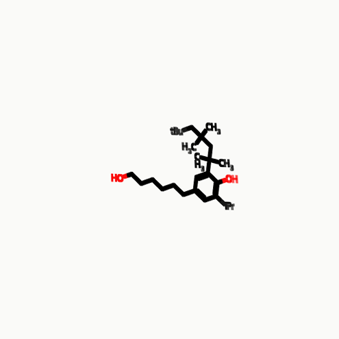 CC(C)c1cc(CCCCCCO)cc(C(C)(C)CC(C)(C)CC(C)(C)C)c1O